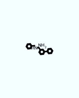 NC(NCc1ccccc1)c1cccc(-c2ccccc2)c1